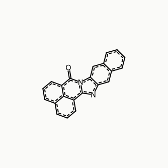 O=c1c2cccc3cccc(c32)c2nc3cc4ccccc4cc3n12